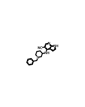 N#Cc1cnc2[nH]ccc2c1NC1CCCN(Cc2ccccc2)C1